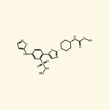 CC(C)OC(=O)N[C@H]1CC[C@H](c2ncc(-c3ccc(Nc4ccno4)cc3S(=O)(=O)NC(C)(C)C)s2)CC1